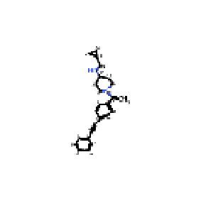 C=C(c1ccc(C#Cc2ccccc2)cc1)N1CCC(NCC2CC2)CC1